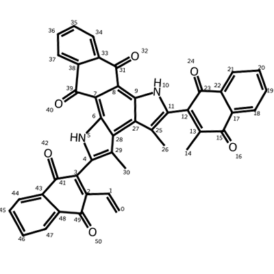 C=CC1=C(c2[nH]c3c4c(c5[nH]c(C6=C(C)C(=O)c7ccccc7C6=O)c(C)c5c3c2C)C(=O)c2ccccc2C4=O)C(=O)c2ccccc2C1=O